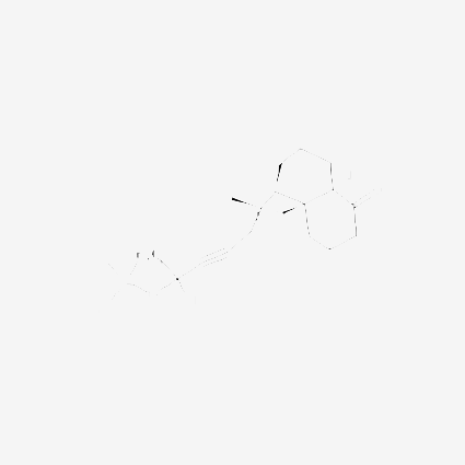 C[C@H](CC#CC(C)(C)O[Si](C)(C)C)[C@H]1CCC[C@H]2C(=O)CCC[C@]12C